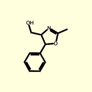 CC1=NC(CO)C(c2ccccc2)O1